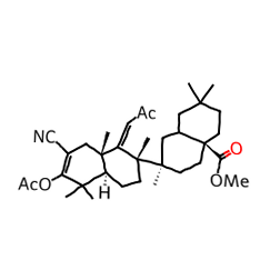 COC(=O)[C@]12CCC(C)(C)CC1C[C@](C)([C@]1(C)CC[C@H]3C(C)(C)C(OC(C)=O)=C(C#N)C[C@]3(C)/C1=C/C(C)=O)CC2